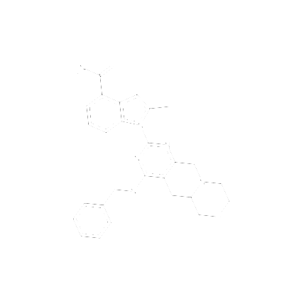 Cc1cc2c(C(N)=O)cccc2n1-c1nc2c(c(NCc3ccccc3)n1)CC1COCCN1C2